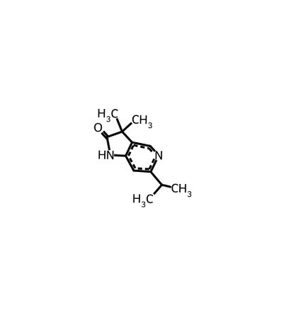 CC(C)c1cc2c(cn1)C(C)(C)C(=O)N2